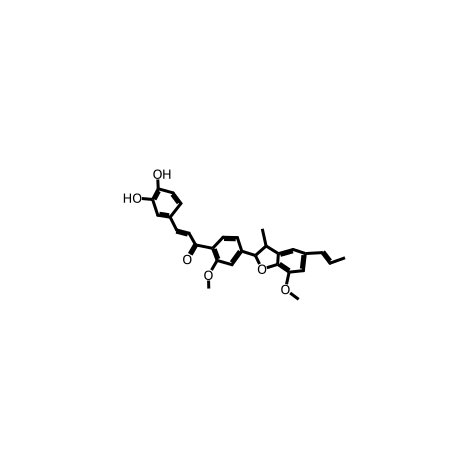 C/C=C/c1cc(OC)c2c(c1)C(C)C(c1ccc(C(=O)/C=C/c3ccc(O)c(O)c3)c(OC)c1)O2